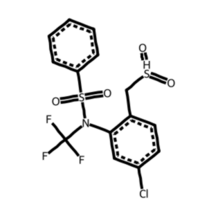 O=[SH](=O)Cc1ccc(Cl)cc1N(C(F)(F)F)S(=O)(=O)c1ccccc1